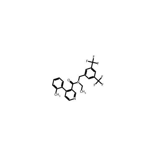 CCN(Cc1cc(C(F)(F)F)cc(C(F)(F)F)c1)C(=O)c1cnccc1-c1ccccc1C